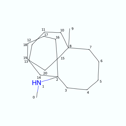 CNC12CCCCCC(C)(CCCCC1)C21CCCCC1